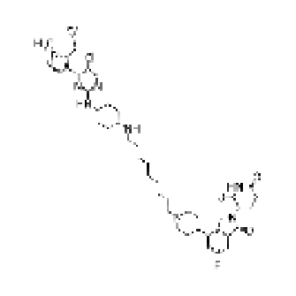 Cn1ncc(-c2nc(NC3CCC(NCCCCCCCCCN4CCC(c5cc(F)cc6c5CN(C5CCC(=O)NC5=O)C6=O)CC4)CC3)ncc2Cl)c1CC1CC1